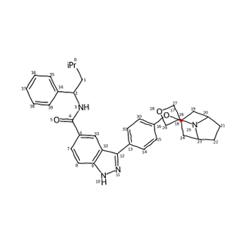 CC(C)CC(NC(=O)c1ccc2[nH]nc(-c3ccc(OC4CC5CCC(C4)N5C4COC4)cc3)c2c1)c1ccccc1